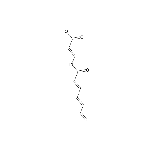 C=CC=CC=CC(=O)NC=CC(=O)O